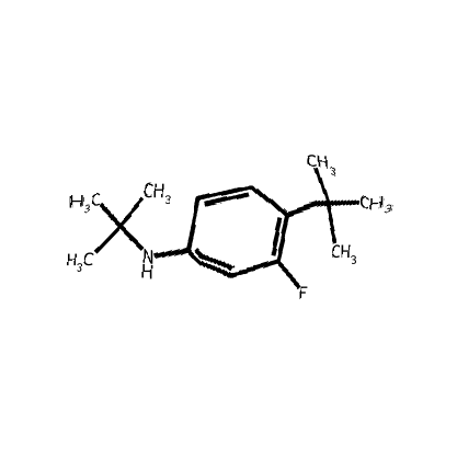 CC(C)(C)Nc1ccc(C(C)(C)C)c(F)c1